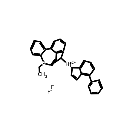 CCP1C2=Cc3c(cccc3[CH]2[Hf+2][CH]2C=Cc3c(-c4ccccc4)cccc32)-c2ccccc21.[F-].[F-]